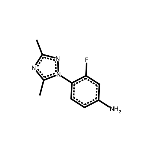 Cc1nc(C)n(-c2ccc(N)cc2F)n1